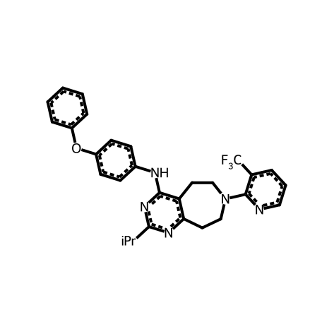 CC(C)c1nc2c(c(Nc3ccc(Oc4ccccc4)cc3)n1)CCN(c1ncccc1C(F)(F)F)CC2